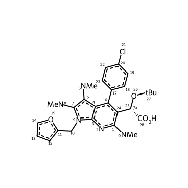 CNc1nc2c(c(NC)c(NC)n2Cc2ccco2)c(-c2ccc(Cl)cc2)c1[C@H](OC(C)(C)C)C(=O)O